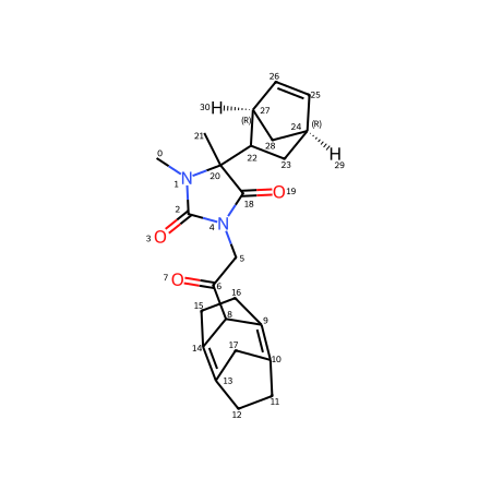 CN1C(=O)N(CC(=O)C2C3=C4CCC(=C2CC3)C4)C(=O)C1(C)C1C[C@@H]2C=C[C@H]1C2